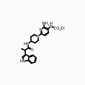 CCOC(=O)Nc1ccc(N2CCC(NC(=O)C(C)c3c[nH]c4ccccc34)CC2)nc1N